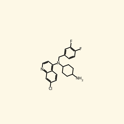 NC1CCC(N(Cc2ccc(F)c(F)c2)c2ccnc3cc(Cl)ccc23)CC1